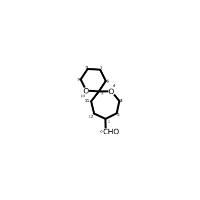 O=CC1CCOC2(CCC[CH]O2)CC1